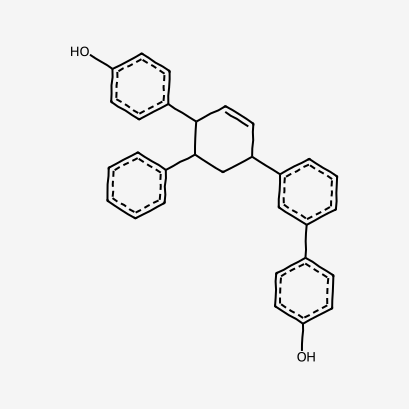 Oc1ccc(-c2cccc(C3C=CC(c4ccc(O)cc4)C(c4ccccc4)C3)c2)cc1